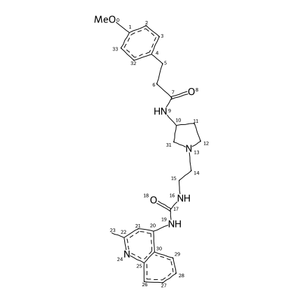 COc1ccc(CCC(=O)NC2CCN(CCNC(=O)Nc3cc(C)nc4ccccc34)C2)cc1